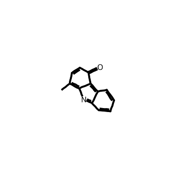 CC1=C2N=c3ccccc3=C2C(=O)C=C1